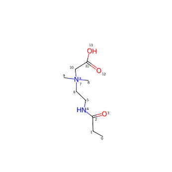 CCC(=O)NCC[N+](C)(C)CC(=O)O